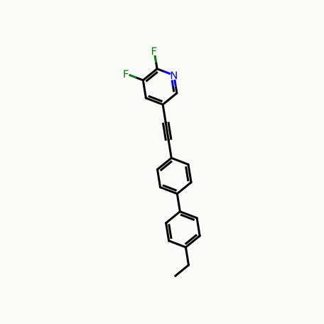 CCc1ccc(-c2ccc(C#Cc3cnc(F)c(F)c3)cc2)cc1